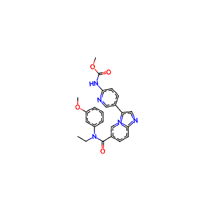 CCN(C(=O)c1ccc2ncc(-c3ccc(NC(=O)OC)nc3)n2c1)c1cccc(OC)c1